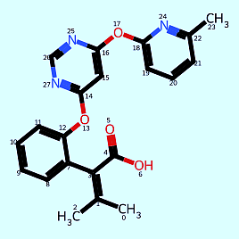 CC(C)=C(C(=O)O)c1ccccc1Oc1cc(Oc2cccc(C)n2)ncn1